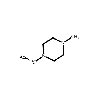 C[13C](=[18O])[13CH2]N1CCN(C)CC1